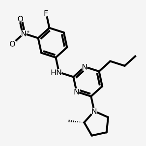 CCCc1cc(N2CCC[C@@H]2C)nc(Nc2ccc(F)c([N+](=O)[O-])c2)n1